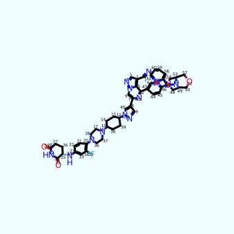 N#Cc1cnn2cc(-c3cnn(C4CCC(N5CCN(c6ccc(N[C@H]7CCC(=O)NC7=O)cc6F)CC5)CC4)c3)nc(-c3ccc(N4CC5COCC(C4)N5Cc4ccccn4)nc3)c12